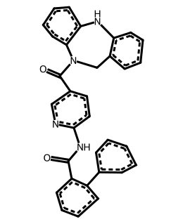 O=C(Nc1ccc(C(=O)N2Cc3ccccc3Nc3ccccc32)cn1)c1ccccc1-c1ccccc1